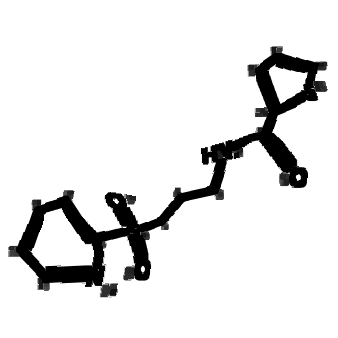 O=C(NCCCS(=O)(=O)c1ccccn1)c1cccs1